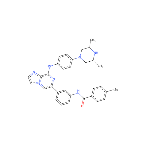 C[C@@H]1CN(c2ccc(Nc3nc(-c4cccc(NC(=O)c5ccc(C(C)(C)C)cc5)c4)cn4ccnc34)cc2)C[C@H](C)N1